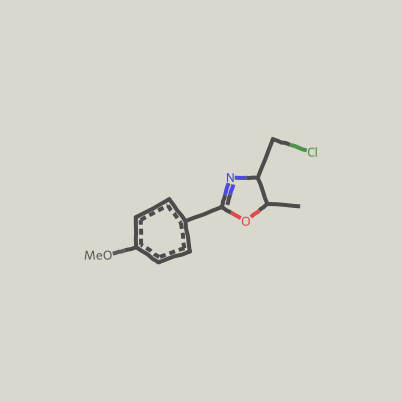 COc1ccc(C2=NC(CCl)C(C)O2)cc1